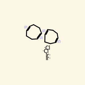 C1=C\CC/C=C\CC/1.C1=C\CC/C=C\CC/1.[Cl].[Cl].[Ir].[Ir]